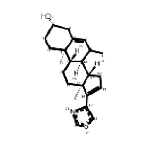 CC1C=C2C[C@@H](O)CC[C@]2(C)[C@H]2CC[C@]3(C)C(c4cocn4)=CC[C@H]3[C@H]12